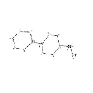 CC(C)NC1CCN(C2CCSCC2)CC1